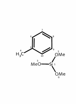 CO[Si](OC)OC.Cc1ccccc1